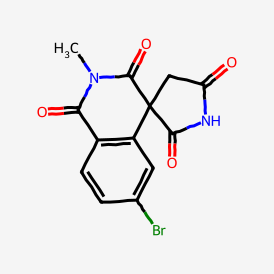 CN1C(=O)c2ccc(Br)cc2C2(CC(=O)NC2=O)C1=O